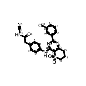 N#CNC(=O)Cc1ccc(Nc2nc(-c3cccc(Cl)c3)nc3c2S(=O)(=O)CCC3)cc1